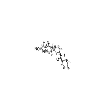 CC1(c2cc(NC(=O)c3ccc(F)cn3)ccc2F)Cn2nc(C#N)cc2C(N)=N1